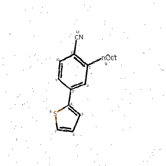 CCCCCCCCc1cc(-c2cccs2)ccc1C#N